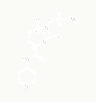 COS(=O)(=O)ON1C(=O)N2C[C@H]1CC[C@H]2C(=O)NC1CCNCC1